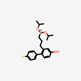 CC(C)O[SiH](CCCc1cc(O)ccc1-c1ccc(F)cc1)OC(C)C